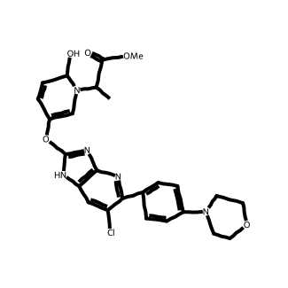 COC(=O)C(C)N1C=C(Oc2nc3nc(-c4ccc(N5CCOCC5)cc4)c(Cl)cc3[nH]2)C=CC1O